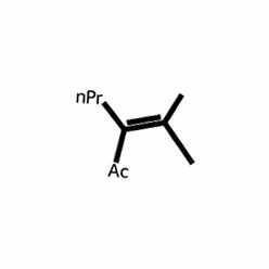 CCCC(C(C)=O)=C(C)C